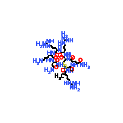 C[C@H](CCCNC(=N)N)C(=O)NC1SSC[C@H](C(=O)N[C@H](CCCNC(=N)N)C(=O)N[C@H](CCCNC(=N)N)C(=O)N[C@H](CCCCN)C(=O)N[C@H](CC(N)=O)C(N)=O)NC(=O)[C@@H](CCC(N)=O)NC1=O